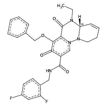 CCN1C(=O)c2c(OCc3ccccc3)c(=O)c(C(=O)NCc3ccc(F)cc3F)cn2N2CCC=C[C@@H]12